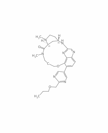 CCCOCc1ncc(-c2ccc3ncc4nc3c2OCCCN(C)C(=O)[C@@H]2C[C@H](CCN2C)N4)cn1